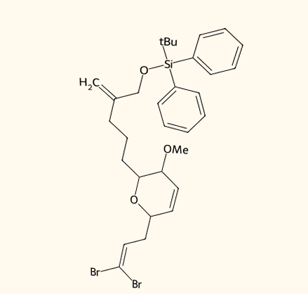 C=C(CCCC1OC(CC=C(Br)Br)C=CC1OC)CO[Si](c1ccccc1)(c1ccccc1)C(C)(C)C